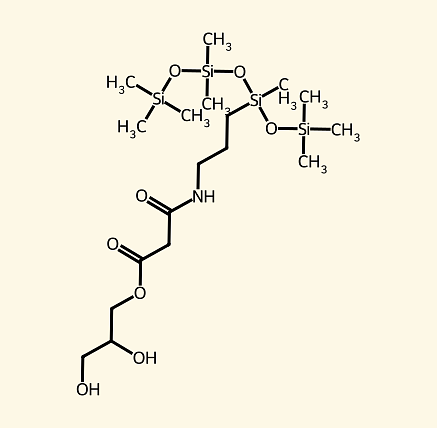 C[Si](C)(C)O[Si](C)(C)O[Si](C)(CCCNC(=O)CC(=O)OCC(O)CO)O[Si](C)(C)C